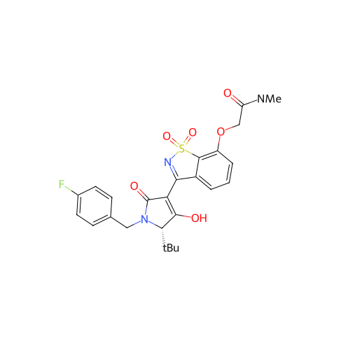 CNC(=O)COc1cccc2c1S(=O)(=O)N=C2C1=C(O)[C@H](C(C)(C)C)N(Cc2ccc(F)cc2)C1=O